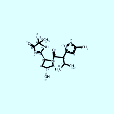 Cc1cc(C(C(=O)N2C[C@H](O)C[C@H]2C2=NC(=O)C(C)(C)N2)C(C)C)on1